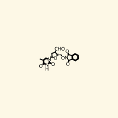 Cc1cn([C@H]2CC(C=O)[C@@H](CON3C(=O)c4ccccc4C3=O)O2)c(=O)[nH]c1=O